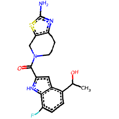 CC(O)c1ccc(F)c2[nH]c(C(=O)N3CCc4nc(N)sc4C3)cc12